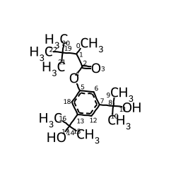 CC(C(=O)Oc1cc(C(C)(C)O)cc(C(C)(C)O)c1)C(C)(C)C